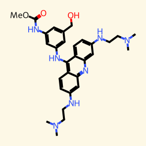 COC(=O)Nc1cc(CO)cc(Nc2c3ccc(NCCN(C)C)cc3nc3cc(NCCN(C)C)ccc23)c1